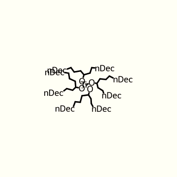 CCCCCCCCCCCCCC(CCCCCCCCCCCC)[O][Ti]([O]C(CCCCCCCCCCCC)CCCCCCCCCCCCC)([O]C(CCCCCCCCCCCC)CCCCCCCCCCCCC)[O]C(CCCCCCCCCCCC)CCCCCCCCCCCCC